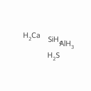 S.[AlH3].[CaH2].[SiH4]